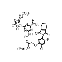 CCCCCOC(=O)COc1cc(N2C(=O)C3=C(CCCC3)C2=O)c(F)cc1Cl.CCNc1nc(Cl)nc(NCC)n1.O=C(O)CNCP(=O)(O)O